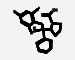 O=C(O)N1CCCC1C(O)(Cc1c(F)cc(F)cc1Br)c1ccccc1